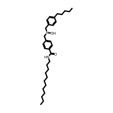 CCCCCCCCCCCCNC(=O)c1ccc(CN(O)Cc2ccc(CCCCC)cc2)cc1